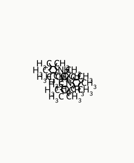 Cc1c(C)c(C)c(Nc2c(C)c(C)c(N(c3c(C)c(C)c(C)c(C)c3C)c3c(C)c(C)c(C)c(C)c3C)c(C)c2C)c(C)c1C